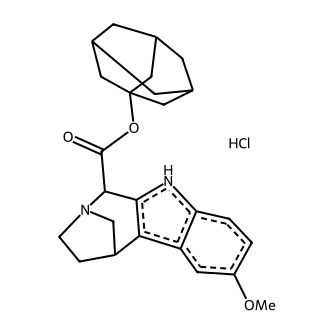 COc1ccc2[nH]c3c(c2c1)C1CCN(C1)C3C(=O)OC12CC3CC(CC(C3)C1)C2.Cl